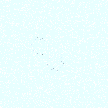 CC.CCc1ccccc1.c1ccccc1